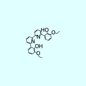 CCOc1cccc(-c2cccc(-c3cccc(-c4cccc(OCC)c4O)n3)n2)c1O